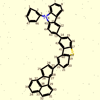 c1ccc(-n2c3ccccc3c3cc(-c4ccc5sc6ccc(-c7ccc8c(c7)-c7cccc9cccc-8c79)cc6c5c4)ccc32)cc1